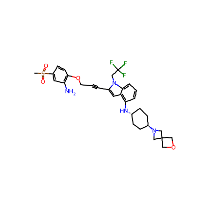 CS(=O)(=O)c1ccc(OCC#Cc2cc3c(N[C@H]4CC[C@H](N5CC6(COC6)C5)CC4)cccc3n2CC(F)(F)F)c(N)c1